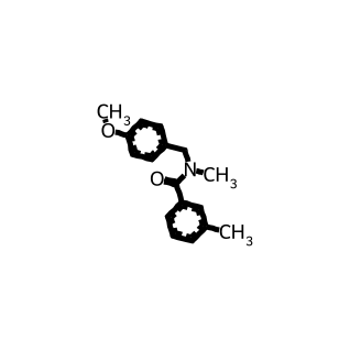 COc1ccc(CN(C)C(=O)c2cccc(C)c2)cc1